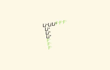 [F-].[F-].[F-].[F-].[F-].[F-].[Li+].[Li+].[Li+].[Li+].[Li+].[Li+]